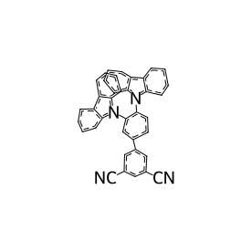 N#Cc1cc(C#N)cc(-c2ccc(-n3c4ccccc4c4ccccc43)c(-n3c4ccccc4c4ccccc43)c2)c1